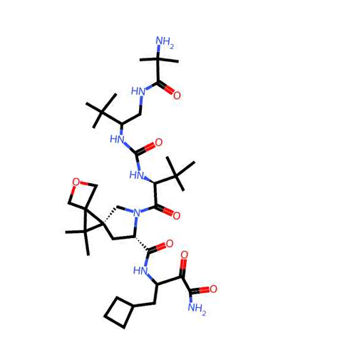 CC(C)(N)C(=O)NCC(NC(=O)N[C@H](C(=O)N1C[C@]2(C[C@H]1C(=O)NC(CC1CCC1)C(=O)C(N)=O)C(C)(C)C21COC1)C(C)(C)C)C(C)(C)C